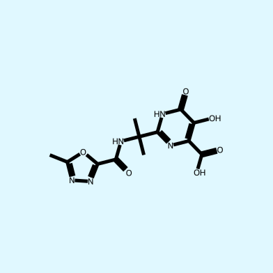 Cc1nnc(C(=O)NC(C)(C)c2nc(C(=O)O)c(O)c(=O)[nH]2)o1